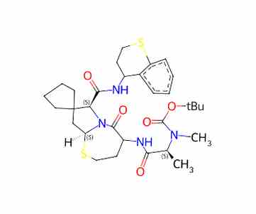 C[C@@H](C(=O)NC1CCS[C@H]2CC3(CCCC3)[C@@H](C(=O)NC3CCSc4ccccc43)N2C1=O)N(C)C(=O)OC(C)(C)C